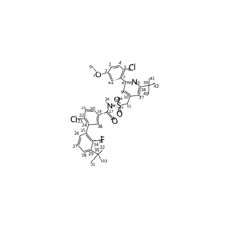 COc1ccc(Cl)c(-c2cc(CS(=O)(=O)N(C)C(=O)c3ccc(Cl)c(-c4cccc(C(C)(C)C)c4F)c3)cc(C(C)(C)C)n2)c1